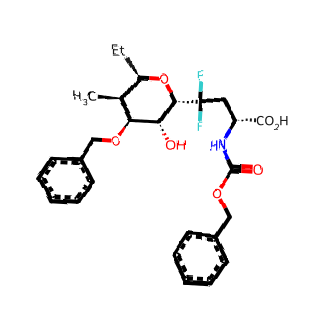 CC[C@H]1O[C@H](C(F)(F)C[C@@H](NC(=O)OCc2ccccc2)C(=O)O)[C@H](O)[C@@H](OCc2ccccc2)[C@H]1C